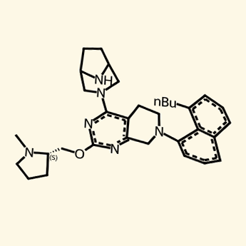 CCCCc1cccc2cccc(N3CCc4c(nc(OC[C@@H]5CCCN5C)nc4N4CC5CCC(C4)N5)C3)c12